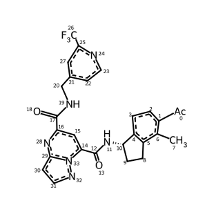 CC(=O)c1ccc2c(c1C)CC[C@@H]2NC(=O)c1cc(C(=O)NCc2ccnc(C(F)(F)F)c2)nc2ccnn12